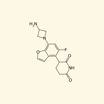 NC1CN(c2cc(F)c(C3CCC(=O)NC3=O)c3ccoc23)C1